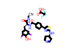 N#CCNC(=O)[C@H](Cc1cc(I)c(O)c(I)c1)NC(=O)c1ccc(-c2csc(Nc3ccncc3)n2)cc1.O=C(O)C(F)(F)F